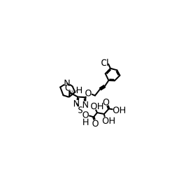 Clc1cccc(C#CCOc2nsnc2[C@@H]2CN3CCC2CC3)c1.O=C(O)C(O)C(O)C(=O)O